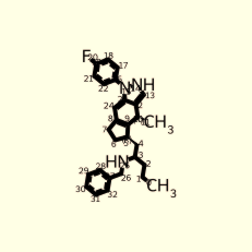 CCCC(C[C@H]1CCC2=C1[C@@H](C)C1=CNN(c3ccc(F)cc3)C1=C2)NCc1ccccc1